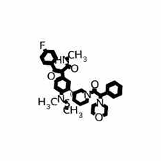 CNC(=O)c1c(-c2ccc(F)cc2)oc2cc(N(C)SC)c([C@H]3CCCN(C(=O)C(c4ccccc4)N4CCOCC4)C3)cc12